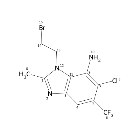 Cc1nc2cc(C(F)(F)F)c(Cl)c(N)c2n1CCBr